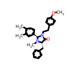 COc1ccc(CCN2C(=O)[C@H](Cc3ccccc3)N(C)[C@H]2c2ccc(C)c(C)c2)cc1